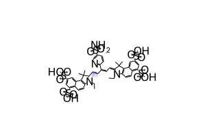 CCN1C(=CC=C(/C=C/C2N(CC)c3ccc4c(S(=O)(=O)O)cc(S(=O)(=O)O)cc4c3C2(C)C)c2ccc(S(N)(=O)=O)cn2)C(C)(C)c2c1ccc1c(S(=O)(=O)O)cc(S(=O)(=O)O)cc21